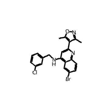 Cc1noc(C)c1-c1cc(NCc2cccc(Cl)c2)c2cc(Br)ccc2n1